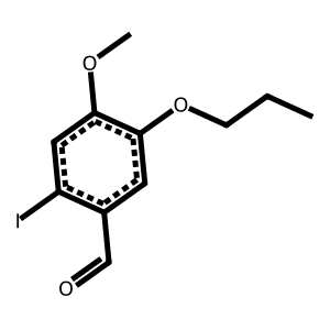 CCCOc1cc(C=O)c(I)cc1OC